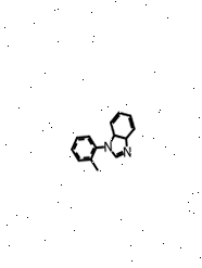 Cc1ccccc1N1C=NC2C=CC=CC21